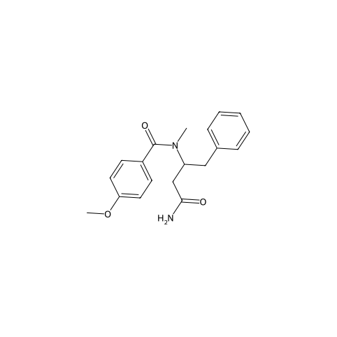 COc1ccc(C(=O)N(C)C(CC(N)=O)Cc2ccccc2)cc1